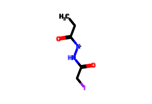 CCC(=O)[N]NC(=O)CI